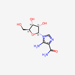 NC(=O)c1ncn([C@@H]2O[C@@H](CO)[C@H](O)[C@@H]2O)c1N